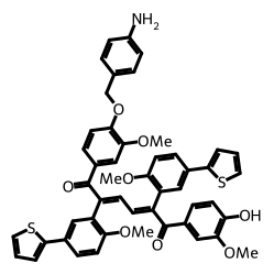 COc1cc(C(=O)C(=CC=C(C(=O)c2ccc(OCc3ccc(N)cc3)c(OC)c2)c2cc(-c3cccs3)ccc2OC)c2cc(-c3cccs3)ccc2OC)ccc1O